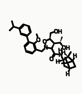 COc1c(CN2O[C@@H](CO)[C@@H]([C@H](C)O)C2C(=O)N[C@H]2C[C@H]3C[C@@H]([C@@H]2C)C3(C)C)cccc1-c1cccc(C(C)C)c1